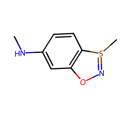 CNc1ccc2c(c1)ON=S2C